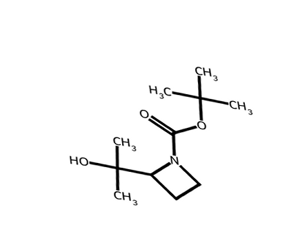 CC(C)(C)OC(=O)N1CCC1C(C)(C)O